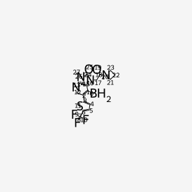 Bc1c(-c2ccc(C(F)(F)F)s2)cnc2c1n(CC(=O)N1CCC1)c(=O)n2C